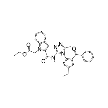 CCOC(=O)Cn1c(C(=O)N(C)c2nnc(C)n2-c2sc(CC)cc2C(=O)c2ccccc2)cc2ccccc21